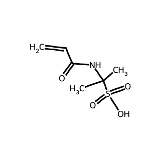 C=CC(=O)NC(C)(C)S(=O)(=O)O